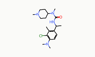 Cc1c(C(C)NC(=O)N(C)C2CCN(C)CC2)ccc(N(C)C)c1Cl